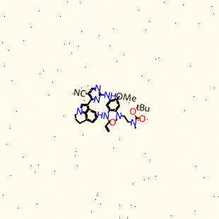 C=CC(=O)Nc1cc(Nc2ncc(C#N)c(-c3cn4c5c(cccc35)CCC4)n2)c(OC)cc1N(C)CCN(C)C(=O)OC(C)(C)C